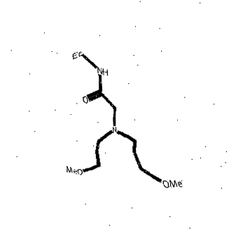 CCNC(=O)CN(CCOC)CCOC